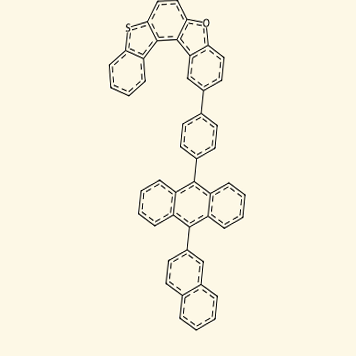 c1ccc2cc(-c3c4ccccc4c(-c4ccc(-c5ccc6oc7ccc8sc9ccccc9c8c7c6c5)cc4)c4ccccc34)ccc2c1